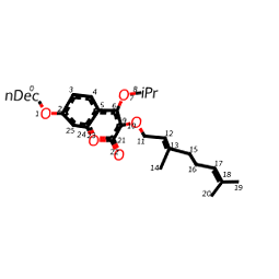 CCCCCCCCCCOc1ccc2c(OC(C)C)c(OC/C=C(\C)CCC=C(C)C)c(=O)oc2c1